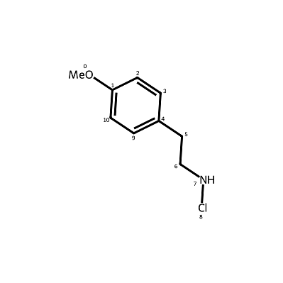 COc1ccc(CCNCl)cc1